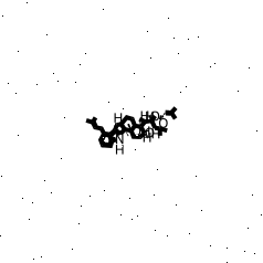 CC(C)=CCc1cccc2[nH]c3c(c12)C[C@@H]1CC[C@@]2(O)[C@@]45C[C@@H]4[C@@H]4O[C@H](C=C(C)C)OC(C)(C)[C@H]4O[C@H]5CC[C@]2(C)[C@@]31C